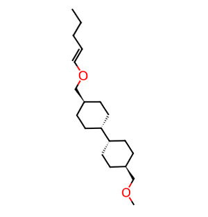 CCCC=COC[C@H]1CC[C@H]([C@H]2CC[C@H](COC)CC2)CC1